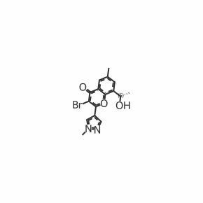 Cc1cc([C@H](C)O)c2oc(-c3cnn(C)c3)c(Br)c(=O)c2c1